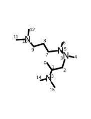 CC(CN(C)N(C)CCCN(C)C)N(C)C